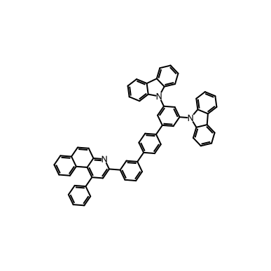 c1ccc(-c2cc(-c3cccc(-c4ccc(-c5cc(-n6c7ccccc7c7ccccc76)cc(-n6c7ccccc7c7ccccc76)c5)cc4)c3)nc3ccc4ccccc4c23)cc1